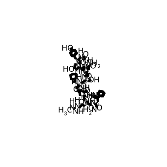 CNC(=N)NCCC[C@H](NC(=O)[C@H](CC1CC1)NC(=O)CNC(=O)[C@H](CC1CCCCC1)NC(=O)[C@H](CO)NC(=O)[C@H](CNC(N)=O)NC(=O)[C@@H]1C[C@@H](O)CN1C(=O)[C@@H](Cc1ccc(O)cc1)NC(C)=O)C(=O)N[C@@H](Cc1c[nH]c2ccccc12)C(N)=O